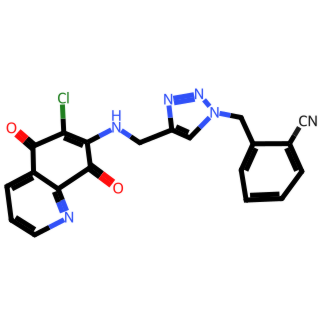 N#Cc1ccccc1Cn1cc(CNC2=C(Cl)C(=O)c3cccnc3C2=O)nn1